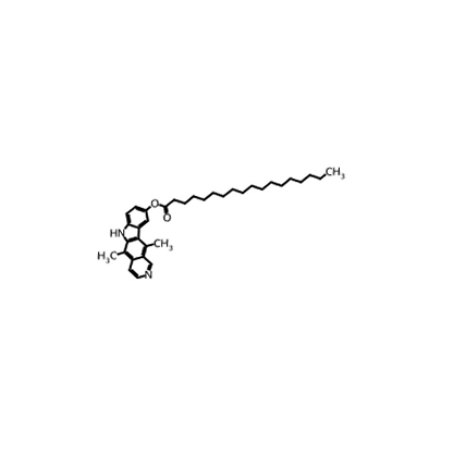 CCCCCCCCCCCCCCCCCC(=O)Oc1ccc2[nH]c3c(C)c4ccncc4c(C)c3c2c1